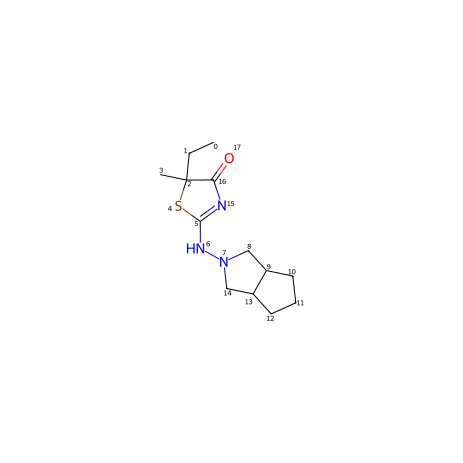 CCC1(C)SC(NN2CC3CCCC3C2)=NC1=O